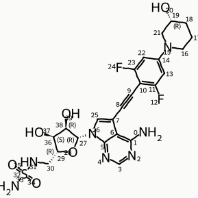 Nc1ncnc2c1c(C#Cc1c(F)cc(N3CCC[C@@H](O)C3)cc1F)cn2[C@@H]1O[C@H](CNS(N)(=O)=O)[C@@H](O)[C@H]1O